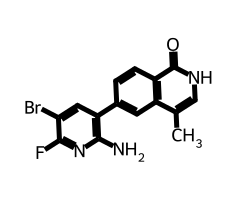 Cc1c[nH]c(=O)c2ccc(-c3cc(Br)c(F)nc3N)cc12